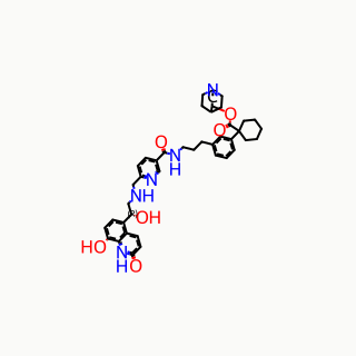 O=C(NCCCc1cccc(C2(C(=O)OC3CN4CCC3CC4)CCCCC2)c1)c1ccc(CNC[C@H](O)c2ccc(O)c3[nH]c(=O)ccc23)nc1